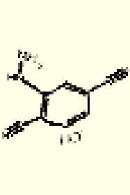 Cl.N#Cc1ccc(C#N)c(NN)c1